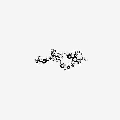 Cc1ncsc1-c1ccc(CNC(=O)[C@@H]2C[C@@H](O)CN2C(=O)[C@@H](NC(=O)COc2ccc(O[C@H]3C[C@@H](NC(=O)C[C@@H]4N=C(c5ccc(Cl)cc5)c5c(sc(C)c5C)-n5c(C)nnc54)C3)nc2)C(C)(C)C)cc1